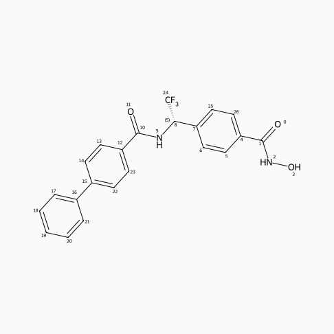 O=C(NO)c1ccc([C@H](NC(=O)c2ccc(-c3ccccc3)cc2)C(F)(F)F)cc1